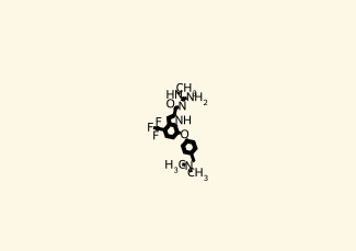 CNC(N)=NC(=O)c1cc2c(C(F)(F)F)ccc(Oc3ccc(CN(C)C)cc3)c2[nH]1